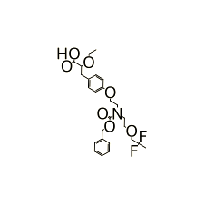 CCOC(Cc1ccc(OCCN(CCOCC(C)(F)F)C(=O)OCc2ccccc2)cc1)C(=O)O